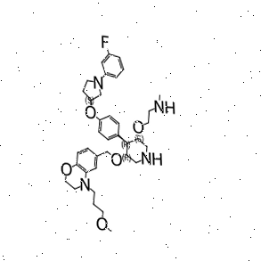 CNCCO[C@@H]1CNC[C@H](OCc2ccc3c(c2)N(CCCOC)CCO3)[C@H]1c1ccc(O[C@H]2CCN(c3cccc(F)c3)C2)cc1